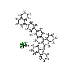 [Cl-].[Cl-].[Zr+2].c1ccc2c(c1)Cc1c(CCc3c(-c4cccc5ccccc45)ccc4c3Cc3cc(-c5cccc6ccccc56)ccc3-4)cccc1-2